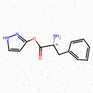 N[C@H](Cc1ccccc1)C(=O)Oc1cc[nH]n1